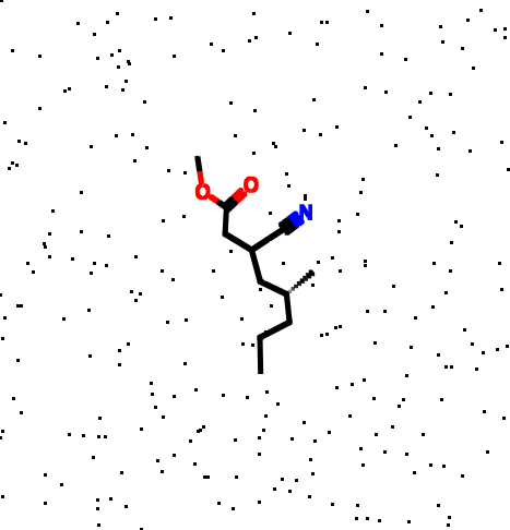 CCC[C@@H](C)CC(C#N)CC(=O)OC